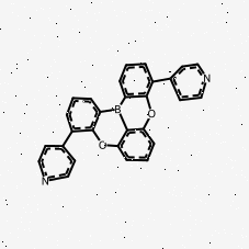 c1cc2c3c(c1)Oc1c(cccc1-c1ccncc1)B3c1cccc(-c3ccncc3)c1O2